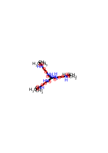 CC(C)(C)OC(=O)NCCOCCOCCNC(=O)CCC(N)(CCC(=O)NCCOCCOCCNC(=O)OC(C)(C)C)CCC(=O)NCCOCCOCCNC(=O)OC(C)(C)C